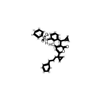 O=c1oc(C2(CCCc3ccccc3)CC2)cc(O)c1C(c1cccc(NS(=O)(=O)c2ccccc2)c1)C1CC1